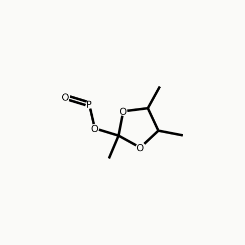 CC1OC(C)(OP=O)OC1C